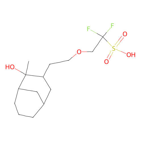 CC1(O)C2CCCC(C2)CC1CCOCC(F)(F)S(=O)(=O)O